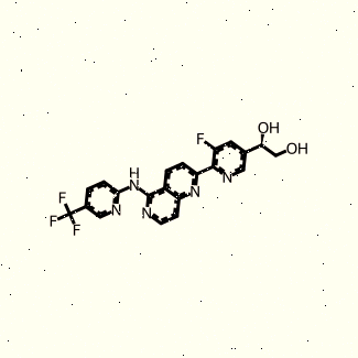 OC[C@H](O)c1cnc(-c2ccc3c(Nc4ccc(C(F)(F)F)cn4)nccc3n2)c(F)c1